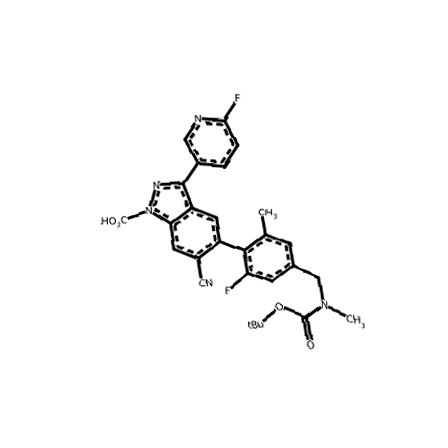 Cc1cc(CN(C)C(=O)OC(C)(C)C)cc(F)c1-c1cc2c(-c3ccc(F)nc3)nn(C(=O)O)c2cc1C#N